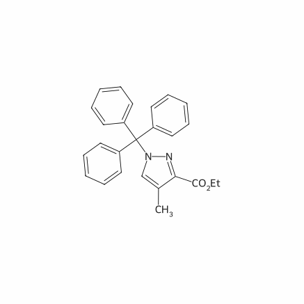 CCOC(=O)c1nn(C(c2ccccc2)(c2ccccc2)c2ccccc2)cc1C